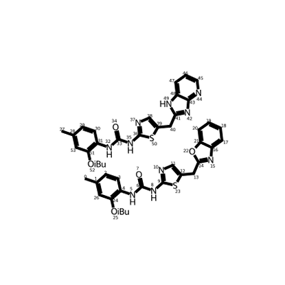 Cc1ccc(NC(=O)Nc2ncc(Cc3nc4ccccc4o3)s2)c(OCC(C)C)c1.Cc1ccc(NC(=O)Nc2ncc(Cc3nc4ncccc4[nH]3)s2)c(OCC(C)C)c1